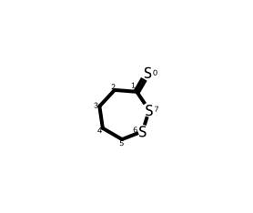 S=C1CCCCSS1